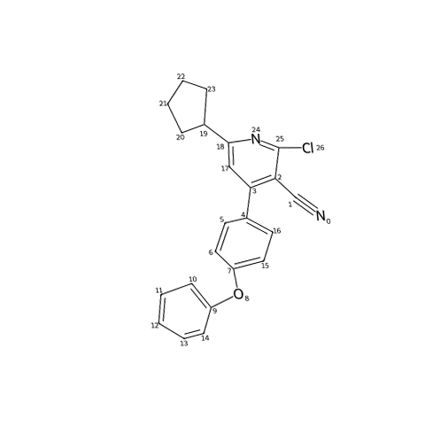 N#Cc1c(-c2ccc(Oc3ccccc3)cc2)cc(C2CCCC2)nc1Cl